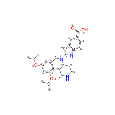 CC(C)Oc1cc(CN(c2nc3ccc(C(=O)O)cc3s2)C2CCNCC2)cc(OC(C)C)c1